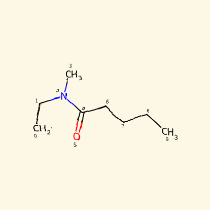 [CH2]CN(C)C(=O)CCCC